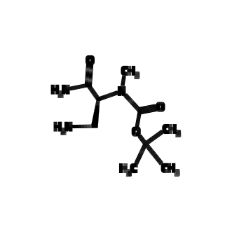 CN(C(=O)OC(C)(C)C)[C@@H](CN)C(N)=O